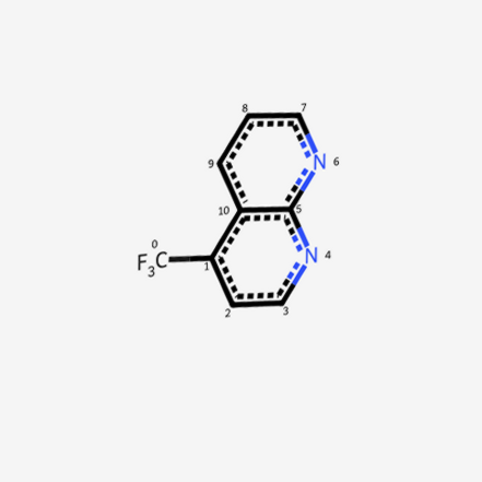 FC(F)(F)c1ccnc2ncccc12